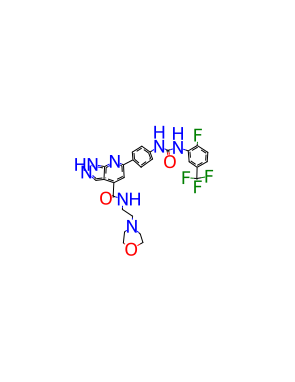 O=C(Nc1ccc(-c2cc(C(=O)NCCN3CCOCC3)c3cn[nH]c3n2)cc1)Nc1cc(C(F)(F)F)ccc1F